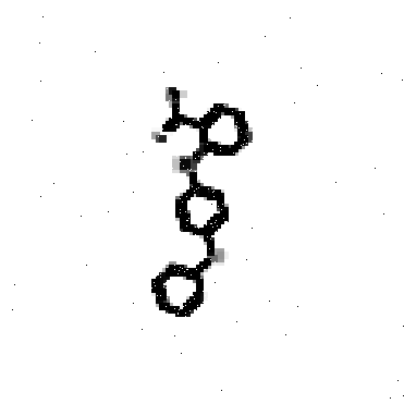 O=C(O)c1ccccc1Nc1ccc(Nc2ccccc2)cc1